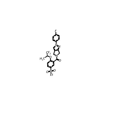 CCS(=O)(=O)c1ccc(O[C@@H](C)C(F)(F)F)c(C(=O)N2Cc3cn(-c4ccc(F)cc4)nc3C2)c1